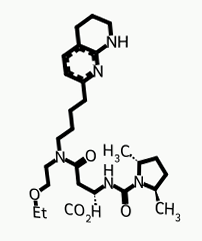 CCOCCN(CCCCc1ccc2c(n1)NCCC2)C(=O)C[C@H](NC(=O)N1[C@H](C)CC[C@H]1C)C(=O)O